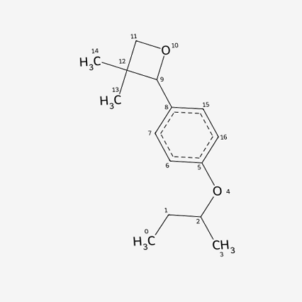 CCC(C)Oc1ccc(C2OCC2(C)C)cc1